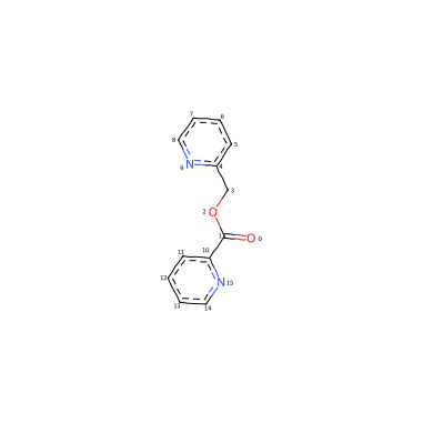 O=C(OCc1ccccn1)c1ccccn1